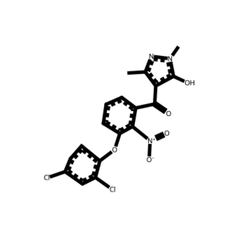 Cc1nn(C)c(O)c1C(=O)c1cccc(Oc2ccc(Cl)cc2Cl)c1[N+](=O)[O-]